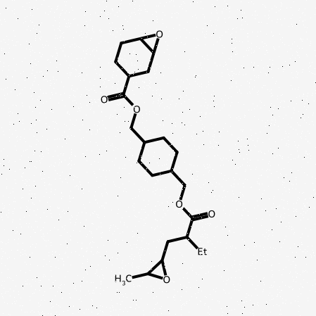 CCC(CC1OC1C)C(=O)OCC1CCC(COC(=O)C2CCC3OC3C2)CC1